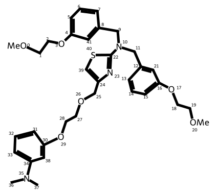 COCCOc1cccc(CN(Cc2cccc(OCCOC)c2)c2nc(COCCOc3cccc(N(C)C)c3)cs2)c1